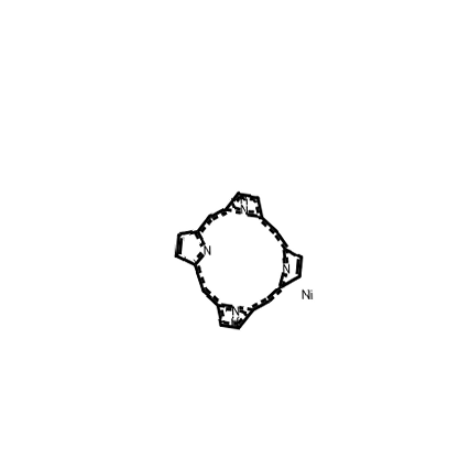 C1=Cc2cc3ccc(cc4nc(cc5ccc(cc1n2)[nH]5)C=C4)[nH]3.[Ni]